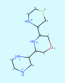 C1CNC(C2COCC(C3CSCCN3)N2)CN1